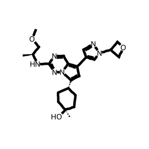 COC[C@H](C)Nc1ncc2c(-c3cnn(C4COC4)c3)cc([C@H]3CC[C@](C)(O)CC3)n2n1